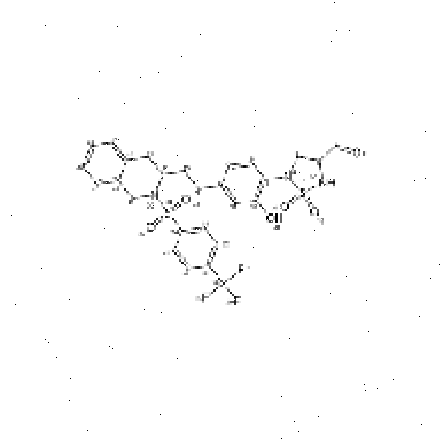 O=CC1CN(c2ccc(CCC3Cc4ccccc4CN3S(=O)(=O)c3ccc(C(F)(F)F)cc3)cc2O)S(=O)(=O)N1